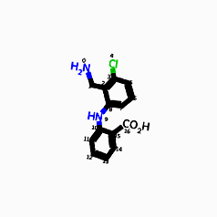 NCc1c(Cl)cccc1Nc1ccccc1C(=O)O